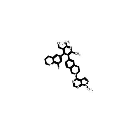 Cc1nc(C)c(-c2ccc3c(c2)CCN(c2ncnc4c2cnn4C)C3)c(-c2cc(F)c3c(c2)CCCO3)c1CC(=O)O